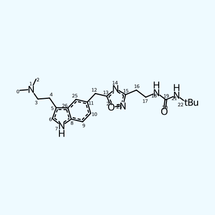 CN(C)CCc1c[nH]c2ccc(Cc3nc(CCNC(=O)NC(C)(C)C)no3)cc12